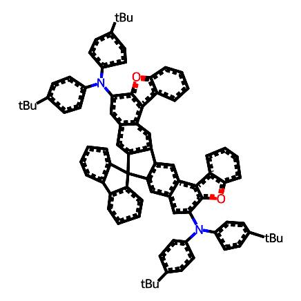 CC(C)(C)c1ccc(N(c2ccc(C(C)(C)C)cc2)c2cc3cc4c(cc3c3c2oc2ccccc23)-c2cc3c(cc2C42c4ccccc4-c4ccccc42)cc(N(c2ccc(C(C)(C)C)cc2)c2ccc(C(C)(C)C)cc2)c2oc4ccccc4c23)cc1